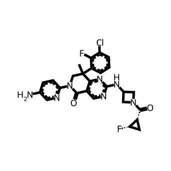 CC1(c2cccc(Cl)c2F)CN(c2ccc(N)cn2)C(=O)c2cnc(NC3CN(C(=O)[C@@H]4C[C@@H]4F)C3)nc21